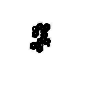 Cc1ccc2c3cc4c5cccc6c7ccc8oc9ccccc9c8c7n(c4cc3c3c([n+]2c1)C1C(C3)c2ccccc2-c2cccc[n+]21)c56